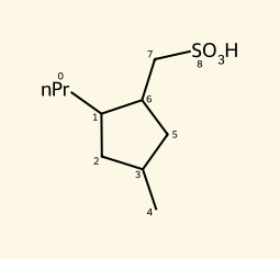 CCCC1CC(C)CC1CS(=O)(=O)O